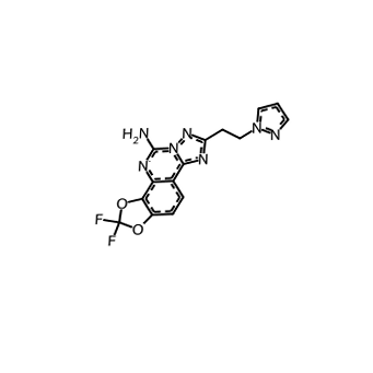 Nc1nc2c3c(ccc2c2nc(CCn4cccn4)nn12)OC(F)(F)O3